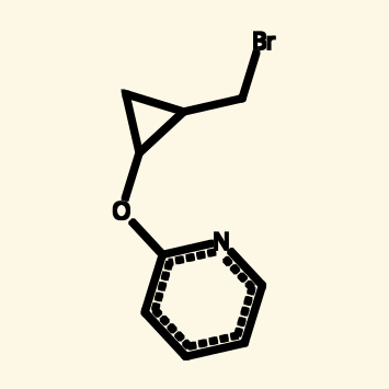 BrCC1CC1Oc1ccccn1